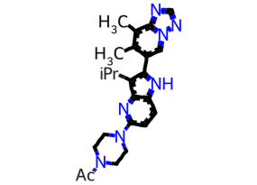 CC(=O)N1CCN(c2ccc3[nH]c(-c4cn5ncnc5c(C)c4C)c(C(C)C)c3n2)CC1